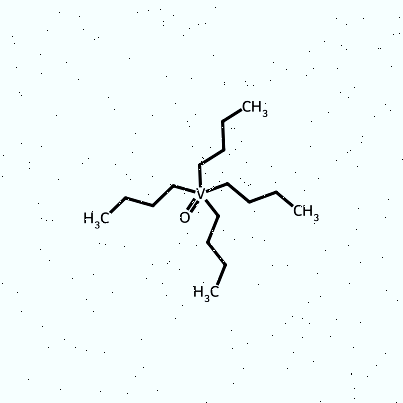 CCC[CH2][V](=[O])([CH2]CCC)([CH2]CCC)[CH2]CCC